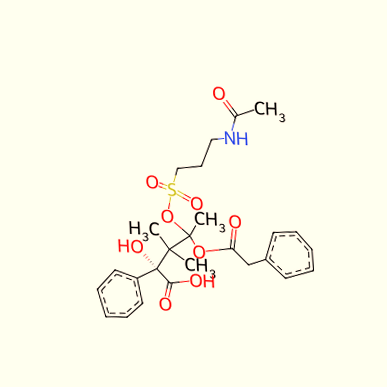 CC(=O)NCCCS(=O)(=O)OC(C)(OC(=O)Cc1ccccc1)C(C)(C)[C@@](O)(C(=O)O)c1ccccc1